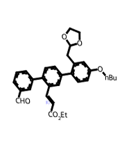 CCCCOc1ccc(-c2ccc(-c3cccc(C=O)c3)c(/C=C/C(=O)OCC)c2)c(CC2OCCO2)c1